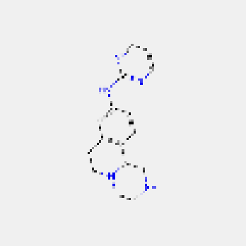 c1cnc(Nc2ccc3c(c2)CCN2CCNCC32)nc1